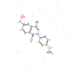 COc1ccc(-n2cc(Br)c3cc(CO)ccc3c2=O)cc1